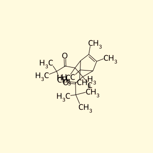 CC1=C(C)C2C(C)(C)C1C(C)(C(=O)C(C)(C)C)C2(C)C(=O)C(C)(C)C